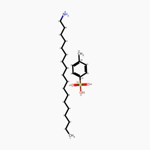 CCCCCCCCCCCCCCCCCCN.Cc1ccc(S(=O)(=O)O)cc1